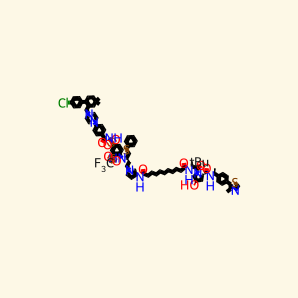 Cc1ncsc1-c1ccc([C@H](C)NC(=O)[C@@H]2C[C@@H](O)CN2C(=O)[C@@H](NC(=O)CCCCCCCCCC(=O)N[C@H]2CCN(CC[C@H](CSc3ccccc3)Nc3ccc(S(=O)(=O)NC(=O)c4ccc(N5CCN(CC6=C(c7ccc(Cl)cc7)CCC(C)(C)C6)CC5)cc4)cc3S(=O)(=O)C(F)(F)F)C2)C(C)(C)C)cc1